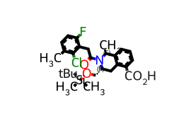 Cc1ccc(F)c(CC(=O)N2[C@@H](CO[Si](C)(C)C(C)(C)C)Cc3c(C(=O)O)cccc3[C@@H]2C)c1Cl